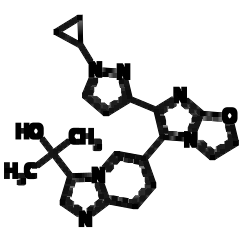 CC(C)(O)c1cnc2ccc(-c3c(-c4ccn(C5CC5)n4)nc4occn34)cn12